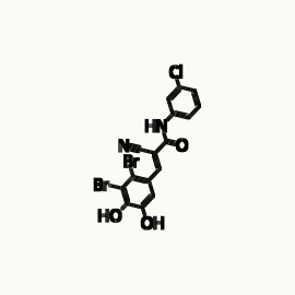 N#CC(=Cc1cc(O)c(O)c(Br)c1Br)C(=O)Nc1cccc(Cl)c1